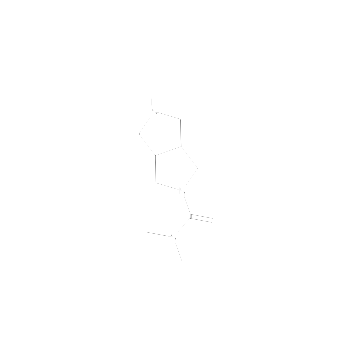 CN(C)C(=O)N1CC2CNCC2C1